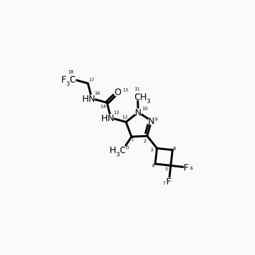 CC1C(C2CC(F)(F)C2)=NN(C)C1NC(=O)NCC(F)(F)F